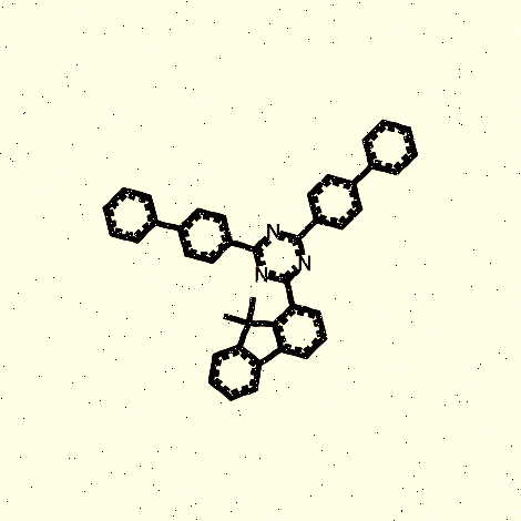 CC1(C)c2ccccc2-c2cccc(-c3nc(-c4ccc(-c5ccccc5)cc4)nc(-c4ccc(-c5ccccc5)cc4)n3)c21